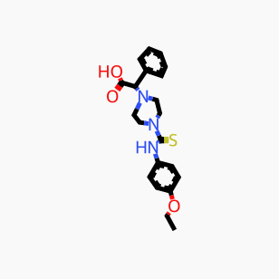 CCOc1ccc(NC(=S)N2CCN(C(C(=O)O)c3ccccc3)CC2)cc1